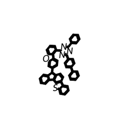 c1ccc(-c2ccc(-c3nc(-c4ccccc4)nc(-c4cccc5oc6cc(C7c8ccccc8-c8c7ccc7c8sc8ccccc87)ccc6c45)n3)cc2)cc1